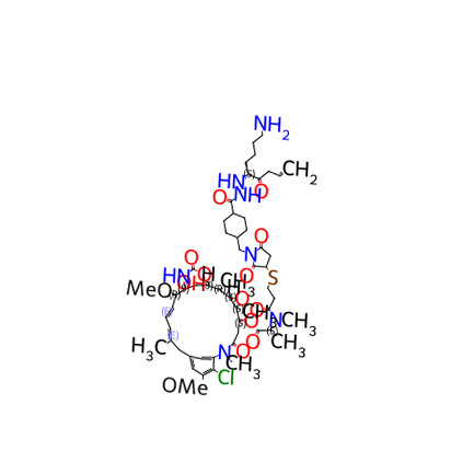 C=CCC(=O)[C@H](CCCCN)NNC(=O)C1CCC(CN2C(=O)CC(SCCC(=O)N(C)[C@@H](C)C(=O)O[C@H]3CC(=O)N(C)c4cc(cc(OC)c4Cl)C/C(C)=C/C=C/[C@@H](OC)[C@@]4(O)C[C@H](OC(=O)N4)[C@@H](C)[C@@H]4O[C@@]34C)C2=O)CC1